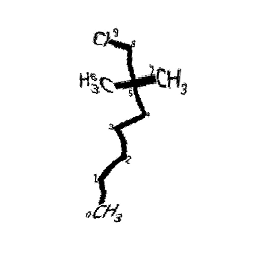 CCCC[CH]C(C)(C)CCl